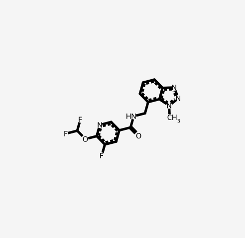 Cn1nnc2cccc(CNC(=O)c3cnc(OC(F)F)c(F)c3)c21